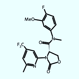 COc1cc(N(C)C(=O)[C@@H]2COC(=O)N2c2cc(C(F)(F)F)cc(C)n2)ccc1F